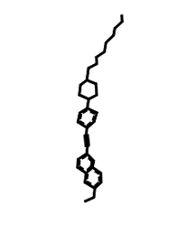 CCCCCCCCCC1CCC(c2ccc(C#Cc3ccc4cc(CC)ccc4c3)cc2)CC1